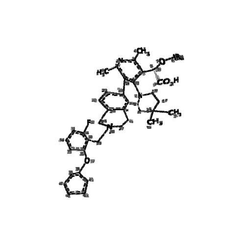 Cc1nc(C)c([C@H](OC(C)(C)C)C(=O)O)c(N2CCC(C)(C)CC2)c1-c1ccc2c(c1)CCN(Cc1c(F)cccc1Oc1ccccc1)C2